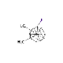 C[C]12[CH]3[CH]4[C]5(I)[C]1(C)[Fe]34251678[CH]2[CH]1[CH]6[CH]7[CH]28